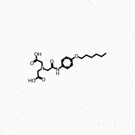 CCCCCCOc1ccc(NC(=O)CN(CC(=O)O)CC(=O)O)cc1